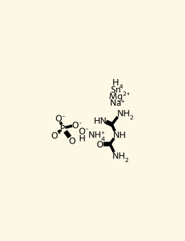 N=C(N)NC(N)=O.O=P([O-])([O-])[O-].[Mg+2].[NH4+].[Na+].[OH-].[SnH4]